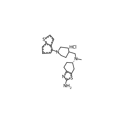 CN(CC1CCN(c2cccc3sccc23)CC1)[C@H]1CCc2nc(N)sc2C1.Cl